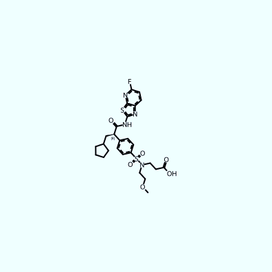 COCCN(CCC(=O)O)S(=O)(=O)c1ccc([C@@H](CC2CCCC2)C(=O)Nc2nc3ccc(F)nc3s2)cc1